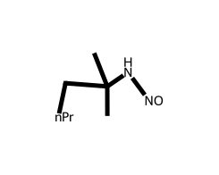 CCCCC(C)(C)NN=O